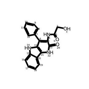 O=C(CO)Nc1c(-c2ccccc2)c2[nH]c3ccccc3c2[nH]c1=O